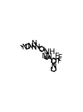 CCN1CCN(c2ncn(-c3ccc(Nc4nccc(-c5cc(N6CCCCC6)cc(C(F)(F)F)c5)n4)cc3)n2)CC1